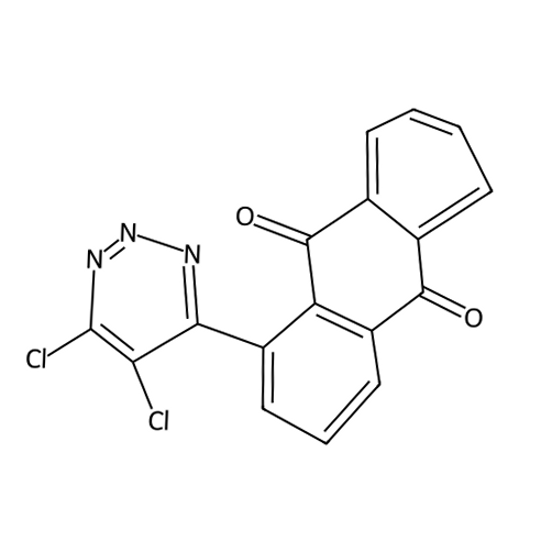 O=C1c2ccccc2C(=O)c2c1cccc2-c1nnnc(Cl)c1Cl